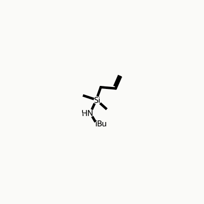 C=CC[Si](C)(C)NC(C)CC